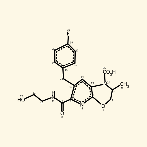 CC1COc2nc(C(=O)NCCO)c(Cc3ccc(F)cc3)cc2N1C(=O)O